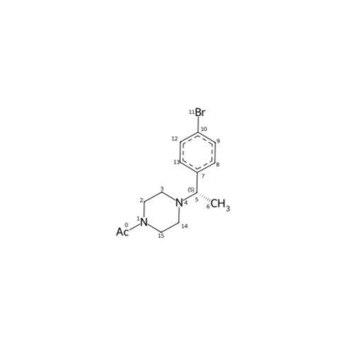 CC(=O)N1CCN([C@@H](C)c2ccc(Br)cc2)CC1